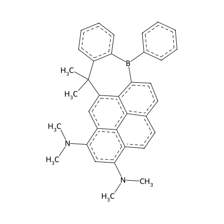 CN(C)c1cc(N(C)C)c2cc3c4c(ccc5ccc1c2c54)B(c1ccccc1)c1ccccc1C3(C)C